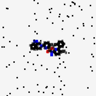 Cc1ccccc1-c1nc(NS(=O)(=O)c2cccc(N3CCC4(CCC[C@H]4N)CC3)n2)ccc1C(F)(F)F